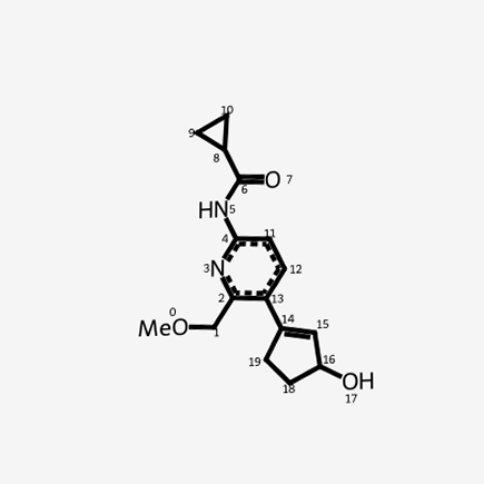 COCc1nc(NC(=O)C2CC2)ccc1C1=CC(O)CC1